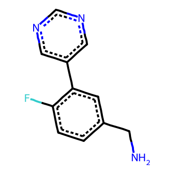 NCc1ccc(F)c(-c2cncnc2)c1